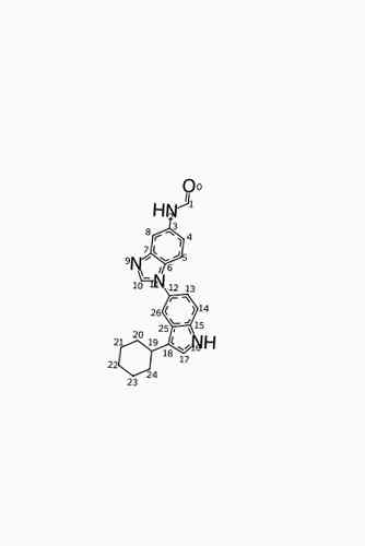 O=CNc1ccc2c(c1)ncn2-c1ccc2[nH]cc(C3CCCCC3)c2c1